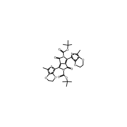 Cc1sc(C2=C3C(=O)N(C(=O)OC(C)(C)C)C(c4sc(C)c5c4OCCO5)=C3C(=O)N2C(=O)OC(C)(C)C)c2c1OCCO2